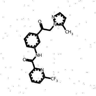 Cc1ccnn1CC(=O)c1cccc(NC(=O)c2cccc(C(F)(F)F)n2)c1